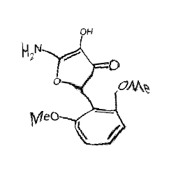 COc1cccc(OC)c1C1OC(N)=C(O)C1=O